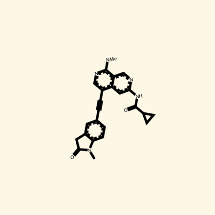 CNc1ncc(C#Cc2ccc3c(c2)CC(=O)N3C)c2cc(NC(=O)C3CC3)ncc12